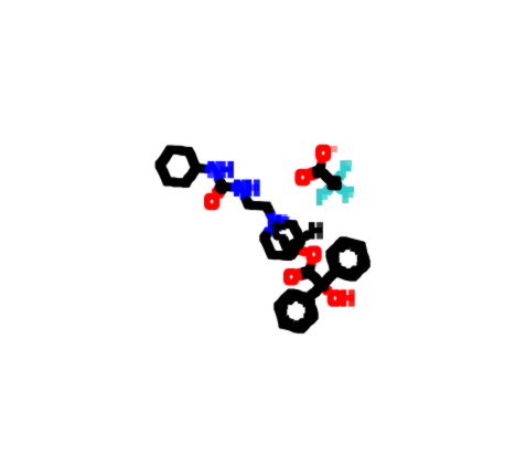 O=C(NCC[N+]12CCC(CC1)[C@@H](OC(=O)C(O)(c1ccccc1)c1ccccc1)C2)NC1CCCCC1.O=C([O-])C(F)(F)F